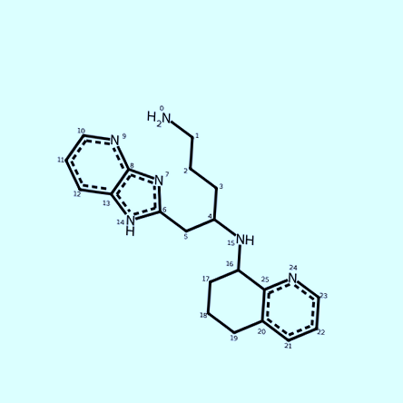 NCCCC(Cc1nc2ncccc2[nH]1)NC1CCCc2cccnc21